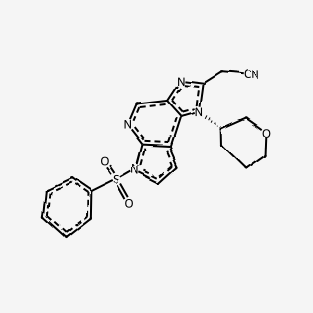 N#CCc1nc2cnc3c(ccn3S(=O)(=O)c3ccccc3)c2n1[C@H]1CCCOC1